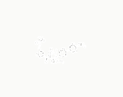 CC(C)[C@@](C)(C(=N)NC(=O)c1cnn(CCS(C)(=O)=O)c1)c1ccc(-c2cnc(N)nc2)nc1